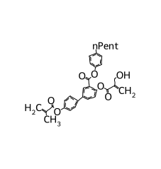 C=C(C)C(=O)Oc1ccc(-c2ccc(OC(=O)C(=C)CO)c(C(=O)Oc3ccc(CCCCC)cc3)c2)cc1